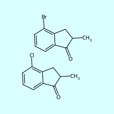 CC1Cc2c(Br)cccc2C1=O.CC1Cc2c(Cl)cccc2C1=O